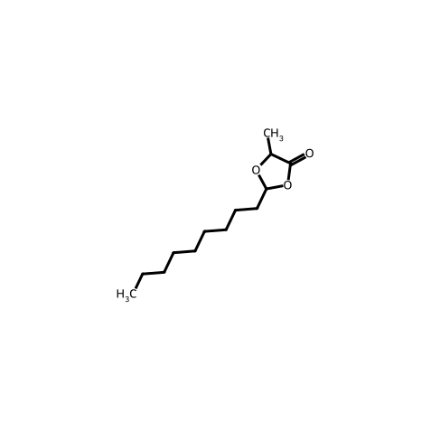 CCCCCCCCCC1OC(=O)C(C)O1